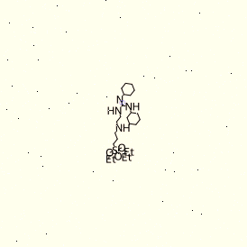 CCO[Si](CCCNCCN/C(=N/C1CCCCC1)NC1CCCCC1)(OCC)OCC